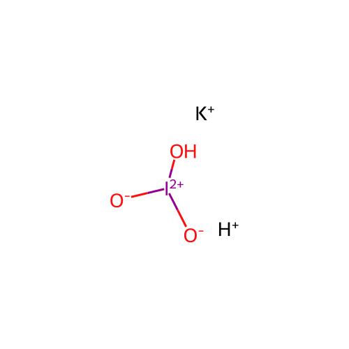 [H+].[K+].[O-][I+2]([O-])O